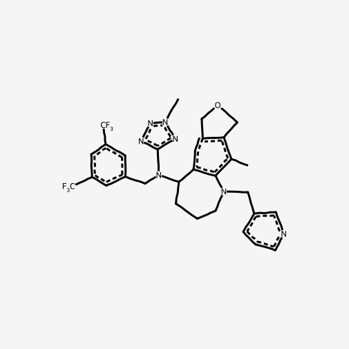 Cc1c2c(cc3c1N(Cc1cccnc1)CCCC3N(Cc1cc(C(F)(F)F)cc(C(F)(F)F)c1)c1nnn(C)n1)COC2